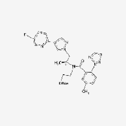 COCCN(C(=O)c1cc(C)ccc1-n1nccn1)[C@@H](C)Cn1cc(-c2ccc(F)cn2)cn1